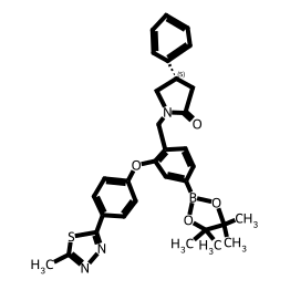 Cc1nnc(-c2ccc(Oc3cc(B4OC(C)(C)C(C)(C)O4)ccc3CN3C[C@H](c4ccccc4)CC3=O)cc2)s1